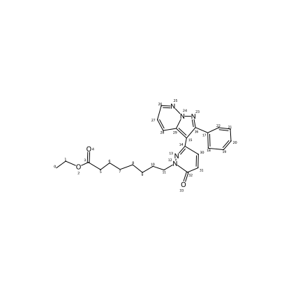 CCOC(=O)CCCCCCCn1nc(-c2c(-c3ccccc3)nn3ncccc23)ccc1=O